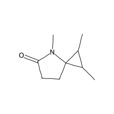 CC1C(C)C12CCC(=O)N2C